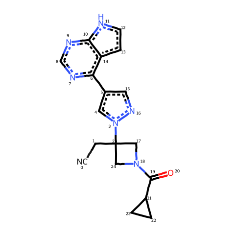 N#CCC1(n2cc(-c3ncnc4[nH]ccc34)cn2)CN(C(=O)C2CC2)C1